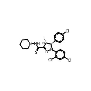 C[C@H]1C(C(=S)NN2CCCCC2)=NN(c2ccc(Cl)cc2Cl)[C@@H]1c1ccc(Cl)cc1